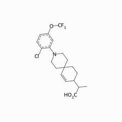 CC(C(=O)O)C1C=CC2(CC1)CCN(c1cc(OC(F)(F)F)ccc1Cl)CC2